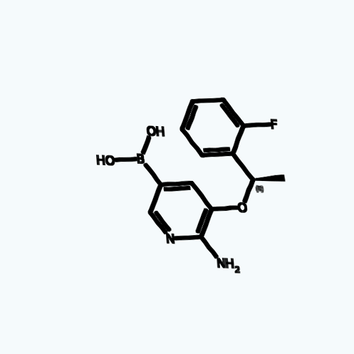 C[C@@H](Oc1cc(B(O)O)cnc1N)c1ccccc1F